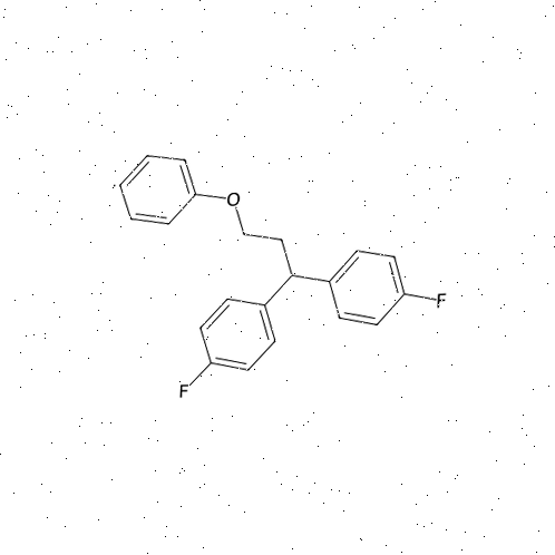 Fc1ccc(C(CCOc2cc[c]cc2)c2ccc(F)cc2)cc1